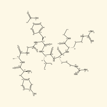 CC(=O)O.CCNC(=O)[C@H](CCCNC(=N)N)NC(=O)[C@H](CCCNC(=N)N)NC(=O)[C@H](CC(C)C)NC(=O)[C@H](Cc1ccccc1)NC(=O)CNC(=O)[C@@H](C)NC(=O)[C@@H](N)Cc1ccc(O)cc1